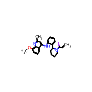 C=CC(I)N1CCCCC1c1ccccc1Nc1cc(C)nc2c(OC)cccc12